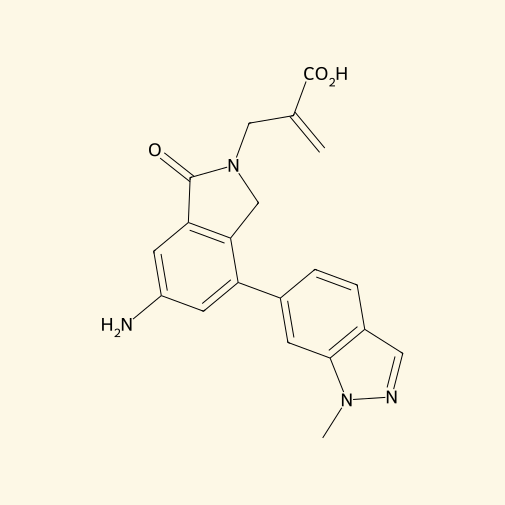 C=C(CN1Cc2c(cc(N)cc2-c2ccc3cnn(C)c3c2)C1=O)C(=O)O